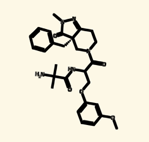 COc1cccc(OCC(NC(=O)C(C)(C)N)C(=O)N2CCC3=NN(C)C(=O)[C@]3(Cc3ccccc3)C2)c1